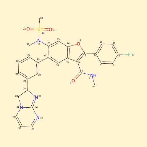 CNC(=O)c1c(-c2ccc(F)cc2)oc2cc(N(C)S(C)(=O)=O)c(-c3cccc(C4CN5C=CC=NC5=N4)c3)cc12